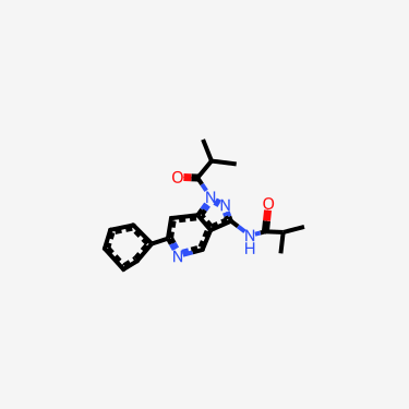 CC(C)C(=O)Nc1nn(C(=O)C(C)C)c2cc(-c3ccccc3)ncc12